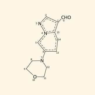 O=Cc1cnn2cc(N3CCOCC3)ccc12